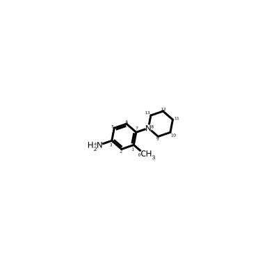 Cc1cc(N)ccc1N1CCCCC1